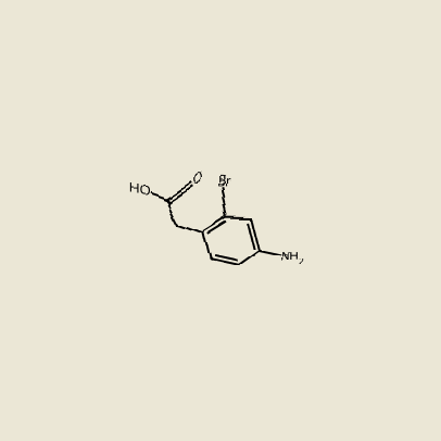 Nc1ccc(CC(=O)O)c(Br)c1